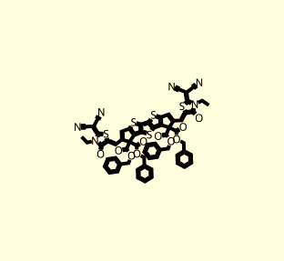 CCn1c(=C(C#N)C#N)s/c(=C\C2=Cc3sc4c(sc5c6c(sc54)C=C(/C=c4\sc(=C(C#N)C#N)n(CC)c4=O)C6(C(=O)OCc4ccccc4)C(=O)OCc4ccccc4)c3C2(C(=O)OCc2ccccc2)C(=O)OCc2ccccc2)c1=O